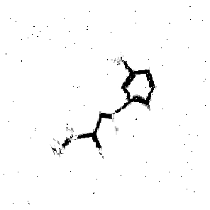 [CH2]c1cccc(OCC(=O)OC)c1